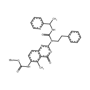 Cc1c(NC(=O)OC(C)(C)C)ccc2nc(N(CCc3ccccc3)C(=O)NC(C)c3ccccn3)oc(=O)c12